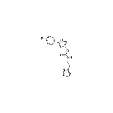 O=C(NCCn1cccn1)Oc1cc(-c2ccc(F)cc2)on1